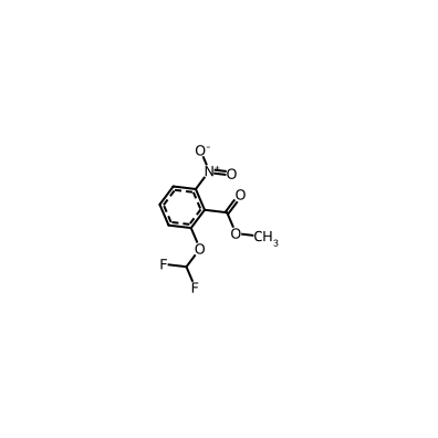 COC(=O)c1c(OC(F)F)cccc1[N+](=O)[O-]